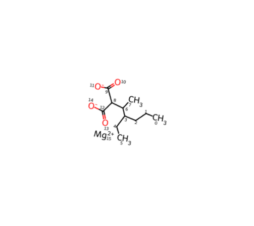 CCCC(CC)C(C)C(C(=O)[O-])C(=O)[O-].[Mg+2]